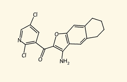 Nc1c(C(=O)c2cc(Cl)cnc2Cl)oc2cc3c(cc12)CCCC3